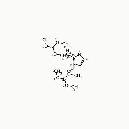 COB(OC)OC.COB(OC)OC.Cc1ncc[n-]1.[Li+]